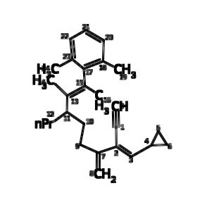 C#C/C(=C\C1CC1)C(=C)CCC(CCC)/C(C)=C(\C)c1c(C)cccc1C